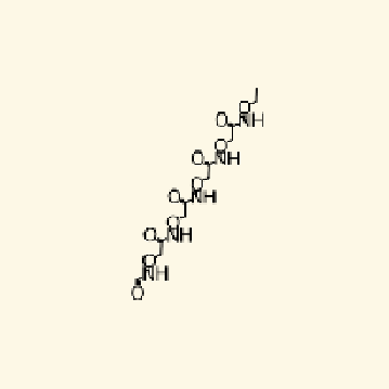 CCONC(=O)CONC(=O)CONC(=O)CONC(=O)CONC=O